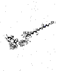 CC(C)(COP(=O)(O)OP(=O)(O)OC[C@H]1O[C@@H](n2cnc3c(N)ncnc32)[C@H](O)[C@@H]1OP(=O)(O)O)[C@@H](O)C(=O)NCCC(=O)NCCSC(=O)/C=C/CCCO